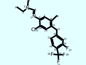 CCN(C)C=Nc1cc(C)c(Cc2ccc(C(F)(F)F)c(F)c2)cc1Cl